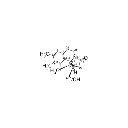 Cc1cc2c(cc1C)[C@@]13C[C@H](C)[C@@H](CO)[C@@H]1CC(=O)N3CC2